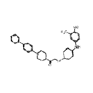 O=Nc1ccc(NC2CCC(OCC(=O)N3CCN(c4ccc(-c5ccccc5)cc4)CC3)CC2)cc1C(F)(F)F